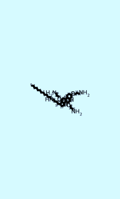 CCCCCCCCCCCCNCCC[C@@H](C)C1CC[C@H]2[C@@H]3[C@H](OCCCN)C[C@@H]4C[C@H](OCCCN)CC[C@]4(C)[C@H]3C[C@H](OCCCN)[C@]12C